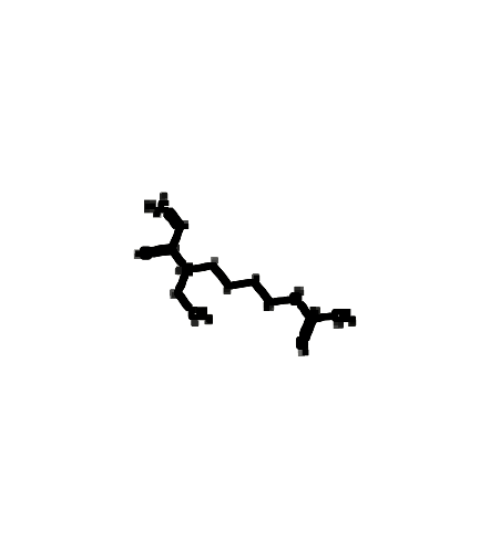 C=CC(=O)N(CC)CCCCOC(C)=O